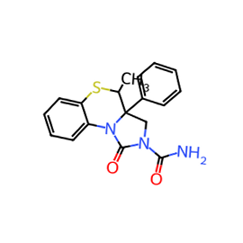 CC1Sc2ccccc2N2C(=O)N(C(N)=O)CC12c1ccccc1